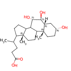 CC(CCC(=O)O)C1CCC2C3C(CC[C@]12C)[C@@]1(C)CC[C@@H](O)C[C@H]1[C@H](O)[C@H]3O